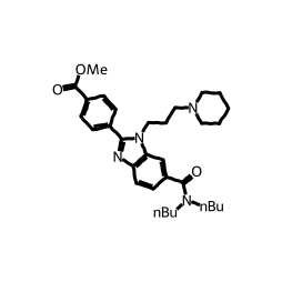 CCCCN(CCCC)C(=O)c1ccc2nc(-c3ccc(C(=O)OC)cc3)n(CCCN3CCCCC3)c2c1